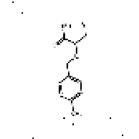 Cc1ccc(COC(CCl)C(=O)C(C)(C)C)cc1